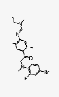 CCN(C)C=Nc1cc(C)c(C(=O)CN(C)c2ccc(Br)cc2F)cc1C